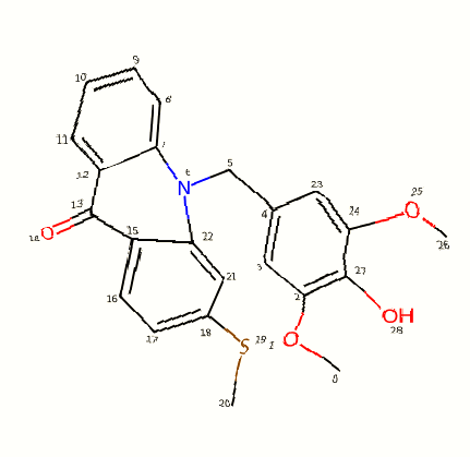 COc1cc(Cn2c3ccccc3c(=O)c3ccc(SC)cc32)cc(OC)c1O